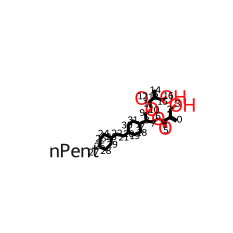 C=C(CO)C(=O)OCC(COC(=O)C(=C)CO)C1CCC(CCC2CCC(CCCCC)CC2)CC1